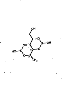 C[C@@H](ON(O)O)[C@@H](CCCO)ON(O)O